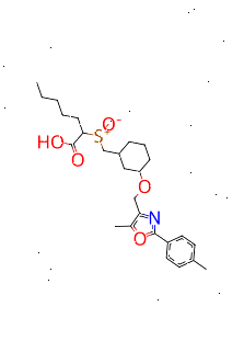 CCCCCC(C(=O)O)[S+]([O-])CC1CCCC(OCc2nc(-c3ccc(C)cc3)oc2C)C1